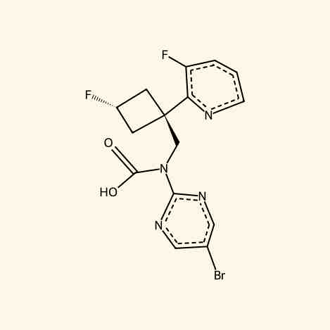 O=C(O)N(C[C@]1(c2ncccc2F)C[C@@H](F)C1)c1ncc(Br)cn1